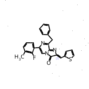 Cc1cccc(C2=CN3C(=O)/C(=C/c4cccs4)N=C3C(Cc3ccccc3)=N2)c1F